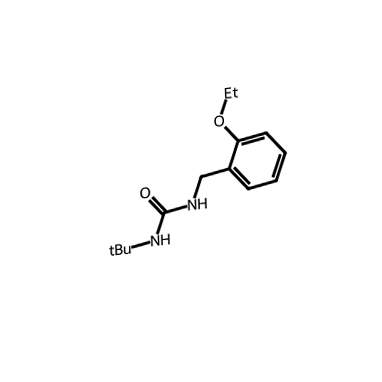 CCOc1ccccc1CNC(=O)NC(C)(C)C